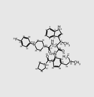 C[C@H](c1c[nH]c2ccccc12)[C@@H](NC(=O)N1CCN(c2ccc(F)cc2)CC1)C(=O)Nc1cc(CN(C)C)ccc1C(=O)N1CCCC1